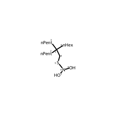 CCCCCCC(CCCCC)(CCCCC)CSN(O)O